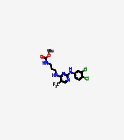 CC(C)(C)OC(=O)NCCCNc1nc(Nc2ccc(Cl)c(Cl)c2)ncc1C(F)(F)F